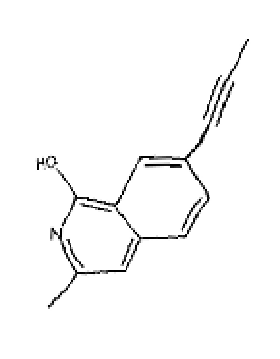 CC#Cc1ccc2cc(C)nc(O)c2c1